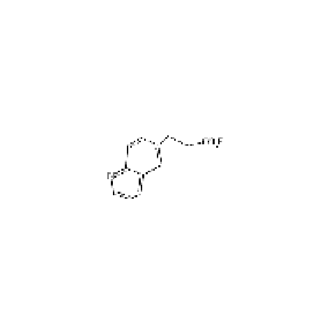 CCOC(=O)CCc1ccc2ncccc2c1